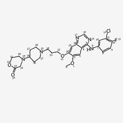 COc1cc2c(Nc3ccc(F)c(Cl)c3)ncnc2cc1OCCCN1CCC(N2CCOC(=O)C2)CC1